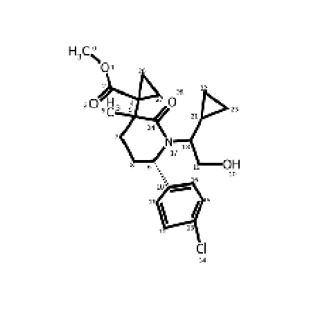 COC(=O)C1(C2(C)CC[C@@H](c3ccc(Cl)cc3)N(C(CO)C3CC3)C2=O)CC1